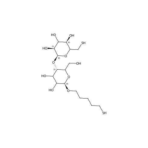 OCC1O[C@@H](OCCCCCS)C(O)C(O)[C@@H]1O[C@@H]1OC(CS)[C@H](O)C(O)[C@@H]1O